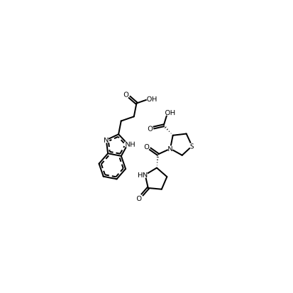 O=C(O)CCc1nc2ccccc2[nH]1.O=C1CC[C@@H](C(=O)N2CSC[C@H]2C(=O)O)N1